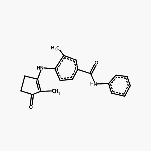 CC1=C(Nc2ccc(C(=O)Nc3ccccc3)cc2C)CCC1=O